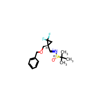 CC(C)(C)[S@+]([O-])/N=C/[C@@]1(COCc2ccccc2)CC1(F)F